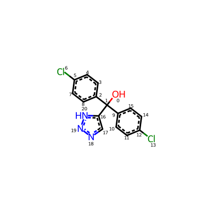 OC(c1ccc(Cl)cc1)(c1ccc(Cl)cc1)c1cnn[nH]1